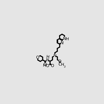 COCCN(CCCCc1ccc2c(n1)NCCC2)CCC(NC(=O)C1CCOCC1)C(=O)O